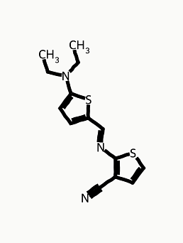 CCN(CC)c1ccc(C=Nc2sccc2C#N)s1